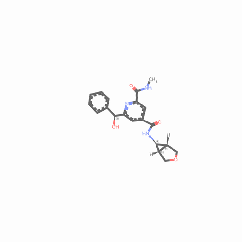 CNC(=O)c1cc(C(=O)N[C@H]2[C@@H]3COC[C@@H]32)cc([C@@H](O)c2ccccc2)n1